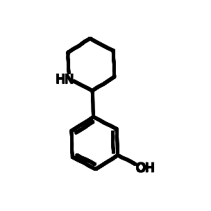 Oc1cccc(C2CCCCN2)c1